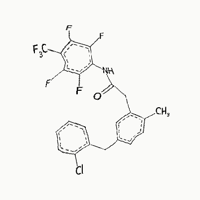 Cc1ccc(Cc2ccccc2Cl)cc1CC(=O)Nc1c(F)c(F)c(C(F)(F)F)c(F)c1F